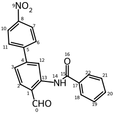 O=Cc1ccc(-c2ccc([N+](=O)[O-])cc2)cc1NC(=O)c1ccccc1